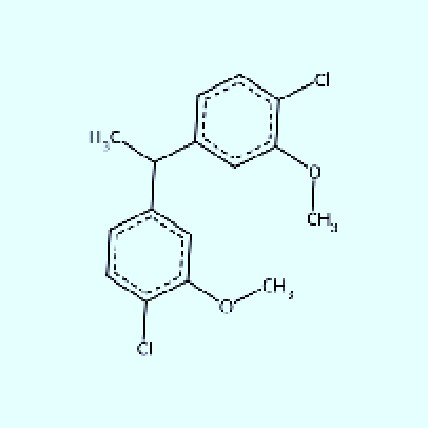 COc1cc(C(C)c2ccc(Cl)c(OC)c2)ccc1Cl